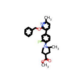 COC(=O)C1CCN(c2ccc(-c3ccc(C)nc3OCc3ccccc3)cc2F)C(C)C1